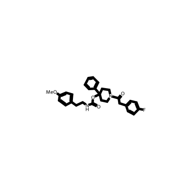 COc1ccc(CCNC(=O)OC2(c3ccccc3)CCN(C(=O)Cc3ccc(F)cc3)CC2)cc1